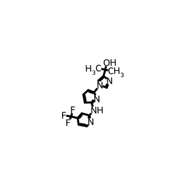 CC(C)(O)c1cn(-c2cccc(Nc3cc(C(F)(F)F)ccn3)n2)cn1